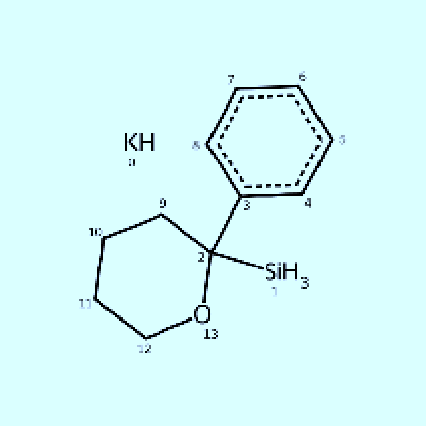 [KH].[SiH3]C1(c2ccccc2)CCCCO1